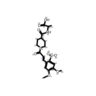 COc1cc(/C=C/C(=O)N2CCC(C(=O)NC(C)C(=O)O)CC2)c([N+](=O)[O-])cc1OC